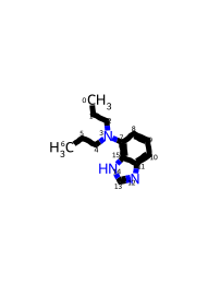 CCCN(CCC)c1cccc2nc[nH]c12